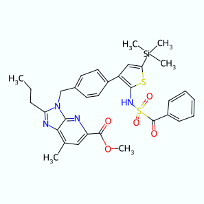 CCCc1nc2c(C)cc(C(=O)OC)nc2n1Cc1ccc(-c2cc([Si](C)(C)C)sc2NS(=O)(=O)C(=O)c2ccccc2)cc1